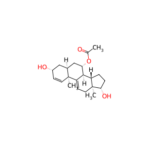 CC(=O)O[C@H]1C[C@@H]2C[C@@H](O)C=C[C@]2(C)C2=CC[C@]3(C)[C@@H](O)CC[C@H]3[C@@H]21